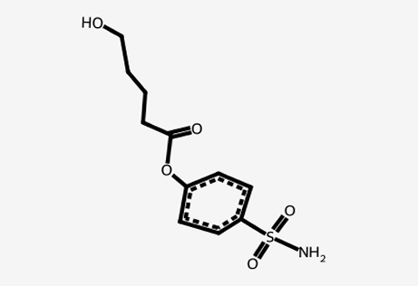 NS(=O)(=O)c1ccc(OC(=O)CCCCO)cc1